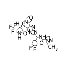 CCn1nccc1C(=O)N[C@H](c1cn2nc(C[C@H]3C[C@@H](C(F)(F)F)CNC3=O)c(C3COCCN3C)nc2n1)C1CCC(F)(F)CC1